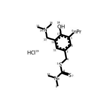 CCCc1cc(CSC(=S)N(C)C)cc(CN(C)C)c1O.Cl